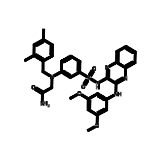 COc1cc(Nc2nc3ccccc3nc2NS(=O)(=O)c2cccc(N(CC(N)=O)Cc3ccc(C)cc3C)c2)cc(OC)c1